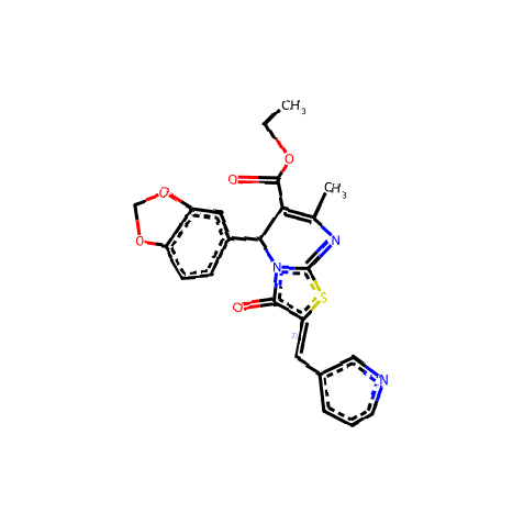 CCOC(=O)C1=C(C)N=c2s/c(=C\c3cccnc3)c(=O)n2C1c1ccc2c(c1)OCO2